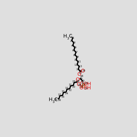 CCCCCCCCCCCCCCCC(=O)OC[C@H](COP(=O)(O)O)OC(=O)CCCCCCCCCCC